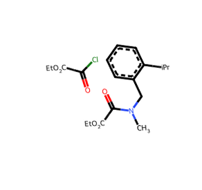 CCOC(=O)C(=O)Cl.CCOC(=O)C(=O)N(C)Cc1ccccc1C(C)C